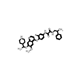 COc1cc2c(Oc3ccc(NC(=O)C(=O)NCC(C)c4ccccc4)cc3F)ccnc2cc1OC(C)C1CCNCC1